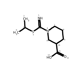 CC(C)SC(=N)N1CCCC(C(=O)O)C1